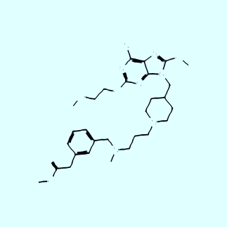 COCCOc1nc(N)c2nc(OC)n(CC3CCN(CCCN(C)Cc4cccc(CC(=O)OC)c4)CC3)c2n1